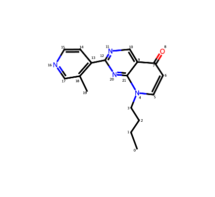 CCCCn1ccc(=O)c2cnc(-c3ccncc3C)nc21